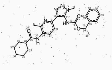 Cc1nc(-c2cnn(C)c2NC(=O)O[C@@H](C)c2ccccc2)ccc1NC(=O)C1CCCCC1